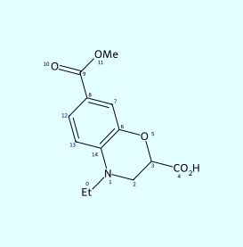 CCN1CC(C(=O)O)Oc2cc(C(=O)OC)ccc21